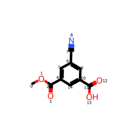 COC(=O)c1cc(C#N)cc(C(=O)O)c1